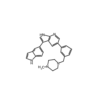 CN1CCN(Cc2cccc(-c3cnc4[nH]cc(-c5ccc6[nH]ccc6c5)c4c3)c2)CC1